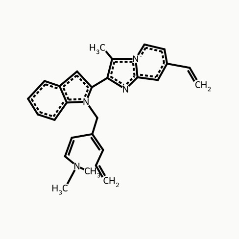 C=C/C=C(\C=C/N(C)C)Cn1c(-c2nc3cc(C=C)ccn3c2C)cc2ccccc21